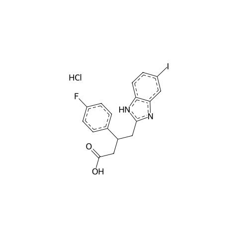 Cl.O=C(O)CC(Cc1nc2cc(I)ccc2[nH]1)c1ccc(F)cc1